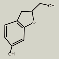 OCC1Cc2ccc(O)cc2O1